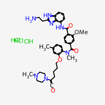 COc1cc(C(=O)N(C)c2ccc(C)cc2OCCCCC(=C=O)N2CCN(C)CC2)ccc1C(=O)Nc1cccc2[nH]c(CCN)nc12.Cl.Cl.Cl